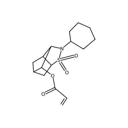 C=CC(=O)OC1C2CC3C1N(C1CCCCC1)S(=O)(=O)C3C2